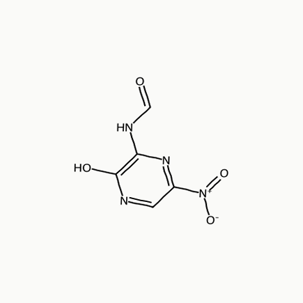 O=CNc1nc([N+](=O)[O-])cnc1O